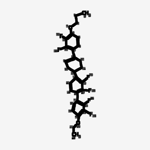 CCCOc1ccc(C2=CCC(c3ccc(-c4ccc(OCC)c(F)c4F)c(F)c3F)CC2)c(F)c1F